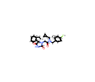 C[C@@H](C1CC1)N(Cc1ccc(F)cc1)C(=O)CN1C(=O)NC(=O)[C@]12CCc1ccccc12